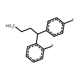 O=C(O)CCC(c1ccc(F)cc1)c1ccccc1F